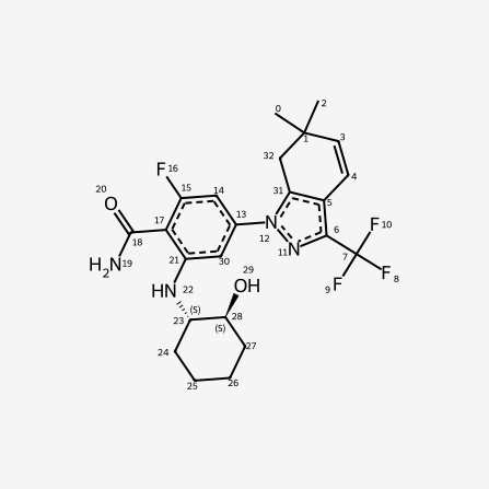 CC1(C)C=Cc2c(C(F)(F)F)nn(-c3cc(F)c(C(N)=O)c(N[C@H]4CCCC[C@@H]4O)c3)c2C1